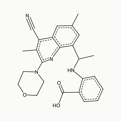 Cc1cc(C(C)Nc2ccccc2C(=O)O)c2nc(N3CCOCC3)c(C)c(C#N)c2c1